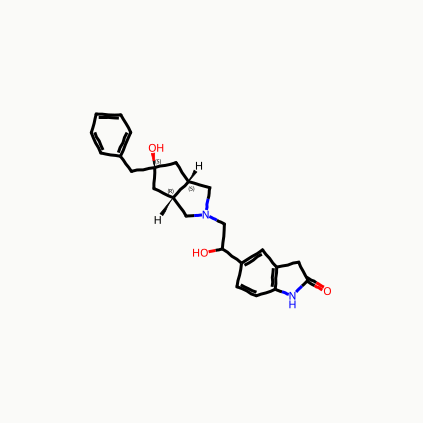 O=C1Cc2cc(C(O)CN3C[C@@H]4C[C@](O)(Cc5ccccc5)C[C@@H]4C3)ccc2N1